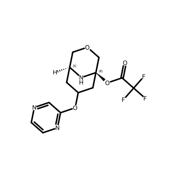 O=C(O[C@@]12COC[C@H](CC(Oc3cnccn3)C1)N2)C(F)(F)F